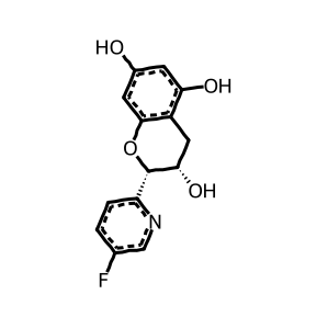 Oc1cc(O)c2c(c1)O[C@@H](c1ccc(F)cn1)[C@@H](O)C2